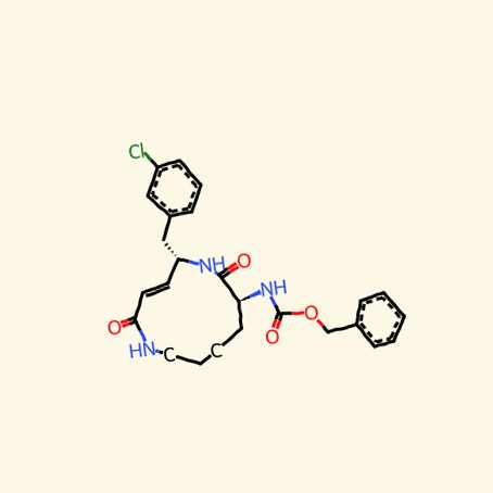 O=C1/C=C/[C@H](Cc2cccc(Cl)c2)NC(=O)[C@@H](NC(=O)OCc2ccccc2)CCCCN1